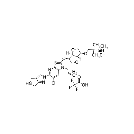 C=CCn1c(O[C@@H]2CO[C@@H]3[C@@H]2OC[C@H]3OCC(C)(C)[SiH](C)C)nc2nc(-n3cc4c(n3)CNC4)c(Cl)cc21.O=C(O)C(F)(F)F